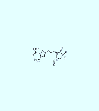 Cc1cc(CCCN2C(=O)C(F)(F)C[C@@H]2C=O)sc1C(=O)O